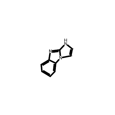 [c]1[c]n2c(nc3ccccc32)[nH]1